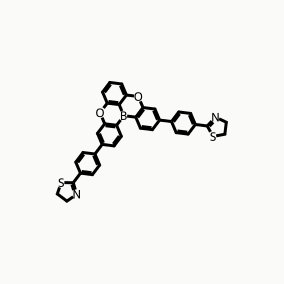 c1cc2c3c(c1)Oc1cc(-c4ccc(C5=NCCS5)cc4)ccc1B3c1ccc(-c3ccc(C4=NCCS4)cc3)cc1O2